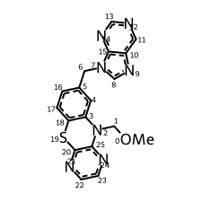 COCN1c2cc(Cn3cnc4cncnc43)ccc2Sc2nccnc21